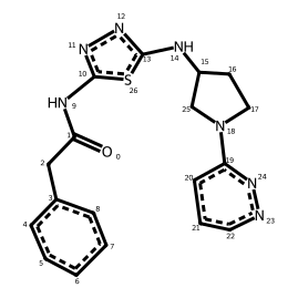 O=C(Cc1ccccc1)Nc1nnc(NC2CCN(c3cccnn3)C2)s1